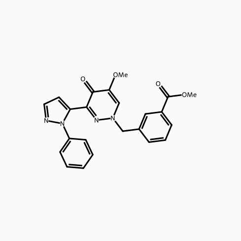 COC(=O)c1cccc(Cn2cc(OC)c(=O)c(-c3ccnn3-c3ccccc3)n2)c1